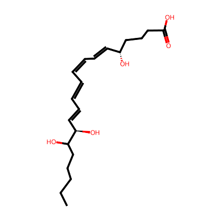 CCCCCC(O)[C@H](O)/C=C/C=C/C=C\C=C\[C@@H](O)CCCC(=O)O